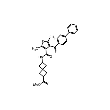 COC(=O)C1CC2(CC(NC(=O)c3c(C)sc(C)c3C(=O)c3ccc(-c4ccccc4)cc3)C2)C1